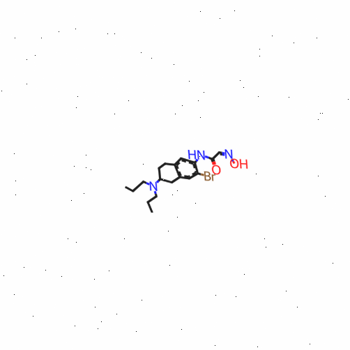 CCCN(CCC)C1CCc2cc(NC(=O)/C=N\O)c(Br)cc2C1